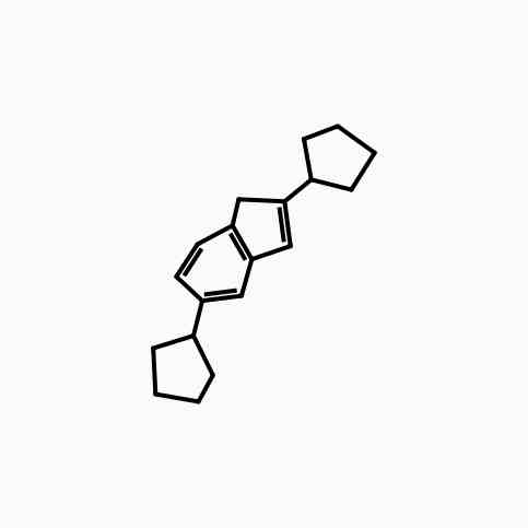 C1=C(C2CCCC2)Cc2ccc(C3CCCC3)cc21